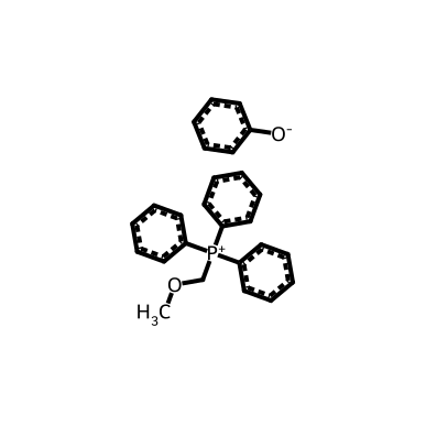 COC[P+](c1ccccc1)(c1ccccc1)c1ccccc1.[O-]c1ccccc1